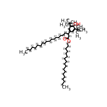 CCCCCCCCCCCCCCCCCCOC(=O)CC(CCCCCCCCCCCCCCCCCC)c1cc(C(C)(C)C)c(O)c(C(C)(C)C)c1